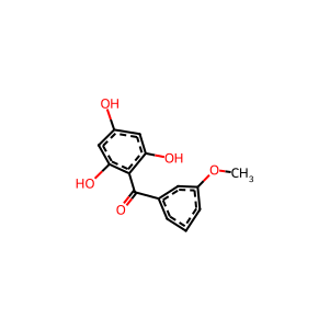 COc1cccc(C(=O)c2c(O)cc(O)cc2O)c1